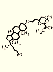 C=C(C)C(=O)OC(CO)CCO[C@H]1CC[C@@]2(C)C(CC[C@@H]3C2CC[C@@]2(C)C3CC[C@@H]2[C@H](C)CCCC(C)C)C1